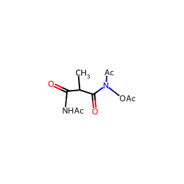 CC(=O)NC(=O)C(C)C(=O)N(OC(C)=O)C(C)=O